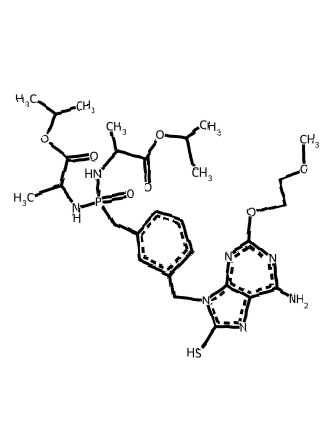 COCCOc1nc(N)c2nc(S)n(Cc3cccc(CP(=O)(NC(C)C(=O)OC(C)C)NC(C)C(=O)OC(C)C)c3)c2n1